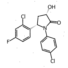 O=C1[C@@H](O)C[C@@H](c2ccc(F)cc2Cl)N1c1ccc(Cl)cc1